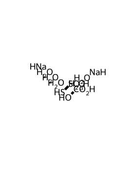 O.O.O.O.O.O=C(O)O.O=S(=O)(O)S.[NaH].[NaH]